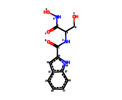 O=C(NC(CO)C(=O)NO)c1cc2ccccc2[nH]1